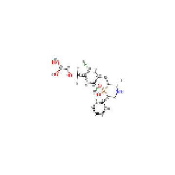 C[C@@H]1NC[C@@H](c2ccccc2)S(=O)(=O)C1Cc1cc(F)c(C(C)(C)OCC(=O)O)cc1F